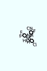 N#Cc1ccc(CC2(c3ccc(Cl)cc3O)Nc3cc(F)c(F)cc3N2)cc1F